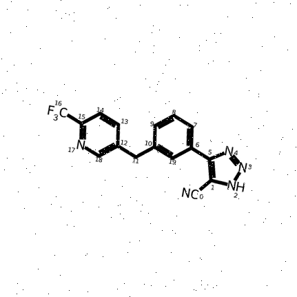 N#Cc1[nH]nnc1-c1cccc(Cc2ccc(C(F)(F)F)nc2)c1